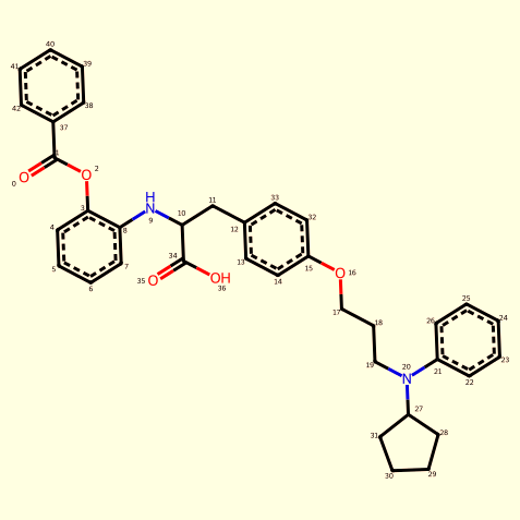 O=C(Oc1ccccc1NC(Cc1ccc(OCCCN(c2ccccc2)C2CCCC2)cc1)C(=O)O)c1ccccc1